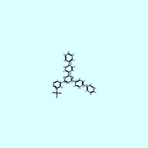 CC(C)(C)c1cccc(-c2nc(-c3ccc(-c4ccccc4)cc3)nc(-c3ccc(-c4ccccc4)cc3)n2)c1